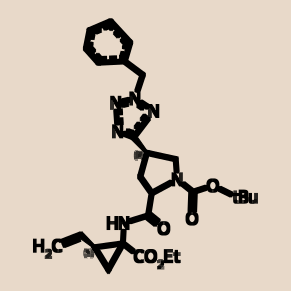 C=C[C@@H]1CC1(NC(=O)C1C[C@@H](c2nnn(Cc3ccccc3)n2)CN1C(=O)OC(C)(C)C)C(=O)OCC